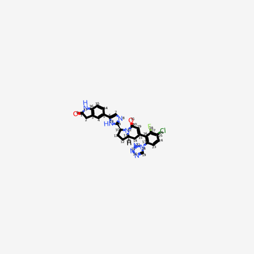 O=C1Cc2cc(-c3cnc([C@@H]4CC[C@@H]5CC(c6c(-n7cnnn7)ccc(Cl)c6F)=CC(=O)N54)[nH]3)ccc2N1